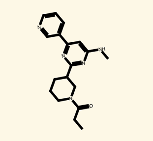 CCC(=O)N1CCCC(c2nc(NC)cc(-c3cccnc3)n2)C1